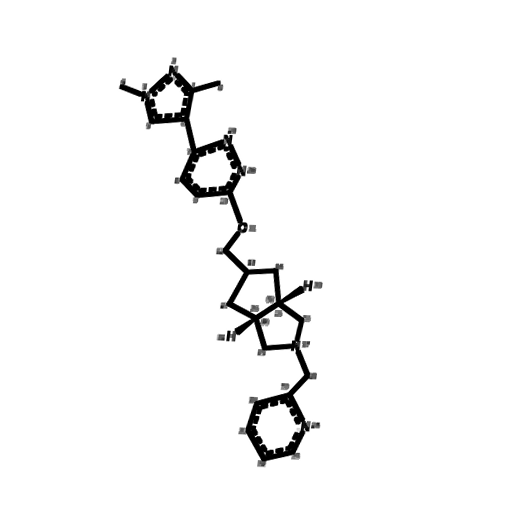 Cc1nn(C)cc1-c1ccc(OCC2C[C@@H]3CN(Cc4ccccn4)C[C@@H]3C2)nn1